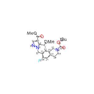 COCc1c(C(=O)OC)cnn1Cc1cc2c(cc1F)CCN(C(=O)OC(C)(C)C)C2